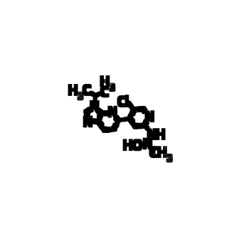 CC(C)n1cnc2ccc(-c3cc(NN(C)O)ncc3Cl)nc21